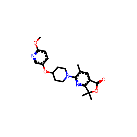 COc1ccc(OC2CCN(c3nc4c(cc3C)C(=O)OC4(C)C)CC2)cn1